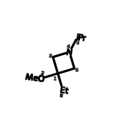 CCC1(OC)CN(C(C)C)C1